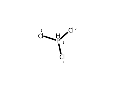 Cl[PH](Cl)Cl